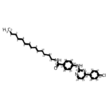 CCCCCCCCCCCCCCNC(=O)c1ccc(Nc2nccc(-c3ccc(Cl)cc3)n2)cc1